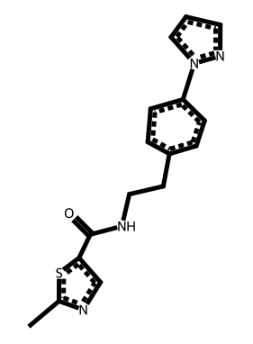 Cc1ncc(C(=O)NCCc2ccc(-n3cccn3)cc2)s1